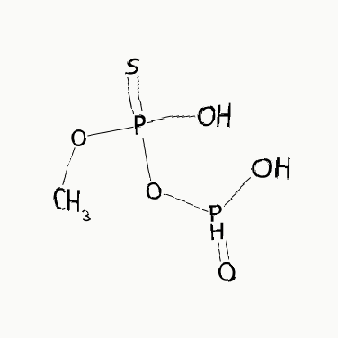 COP(O)(=S)O[PH](=O)O